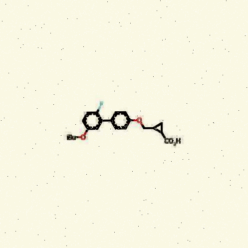 CCC(C)Oc1ccc(F)c(-c2ccc(OCC3CC3C(=O)O)cc2)c1